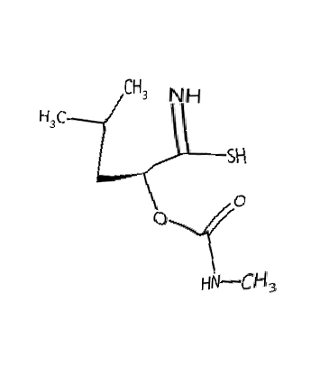 CNC(=O)O[C@@H](CC(C)C)C(=N)S